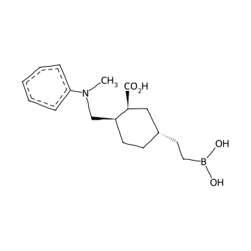 CN(C[C@@H]1CC[C@@H](CCB(O)O)C[C@@H]1C(=O)O)c1ccccc1